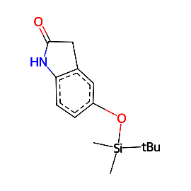 CC(C)(C)[Si](C)(C)Oc1ccc2c(c1)CC(=O)N2